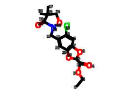 CCOC(=O)C1Oc2cc(Cl)c(CN3OCC(C)(C)C3=O)cc2O1